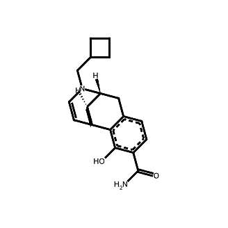 NC(=O)c1ccc2c(c1O)[C@]13C=CN(CC4CCC4)[C@H](C2)[C@@H]1CCCC3